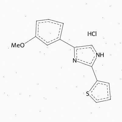 COc1cccc(-c2c[nH]c(-c3cccs3)n2)c1.Cl